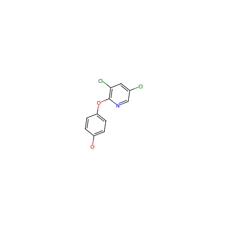 [O]c1ccc(Oc2ncc(Cl)cc2Cl)cc1